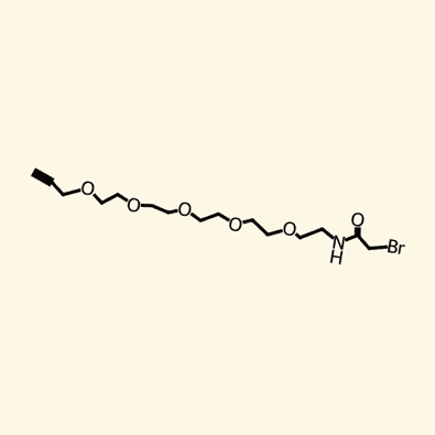 C#CCOCCOCCOCCOCCOCCNC(=O)CBr